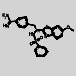 COc1ccc2nc([C@H](Cc3ccc(C(=N)N)cc3)NS(=O)(=O)c3ccccc3)sc2c1